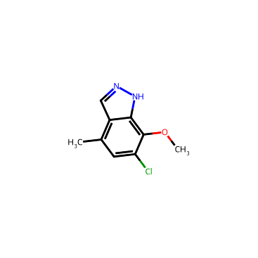 COc1c(Cl)cc(C)c2cn[nH]c12